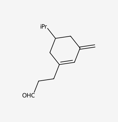 C=C1C=C(CCC=O)CC(C(C)C)C1